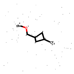 CC(C)(C)OCC1CC(C(F)(F)F)C1